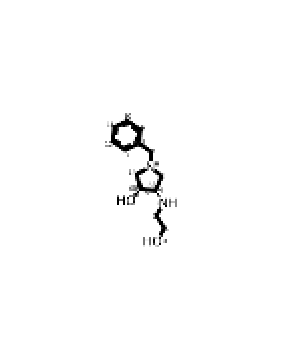 OCCN[C@H]1CN(Cc2ccccc2)C[C@@H]1O